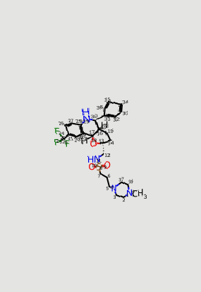 CN1CCN(CCCS(=O)(=O)NC[C@H]2CC[C@@H]3[C@H](O2)c2cc(C(F)(F)F)ccc2N[C@H]3c2ccccc2)CC1